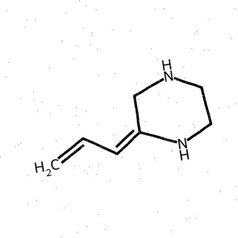 C=CC=C1CNCCN1